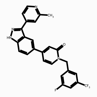 Cc1cc(-c2n[nH]c3ccc(-c4ccn(Cc5cc(F)cc(C(F)(F)F)c5)c(=O)c4)cc23)ccn1